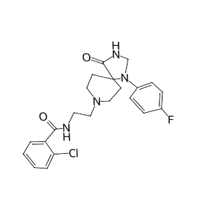 O=C(NCCN1CCC2(CC1)C(=O)NCN2c1ccc(F)cc1)c1ccccc1Cl